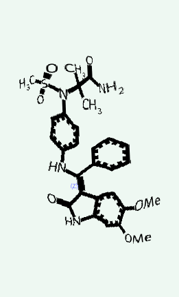 COc1cc2c(cc1OC)/C(=C(/Nc1ccc(N(C(C)(C)C(N)=O)S(C)(=O)=O)cc1)c1ccccc1)C(=O)N2